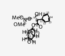 CN1[C@@H]2C[C@@H](OC(=O)[C@H](CO)c3ccccc3)C[C@H]1[C@@H]1O[C@@H]12.CO[N+](=O)OC